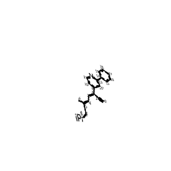 C#C/C(=C\C=C(/C)CC(C)C)c1ccnc(-c2ccccc2)c1